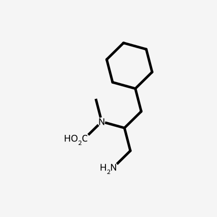 CN(C(=O)O)C(CN)CC1CCCCC1